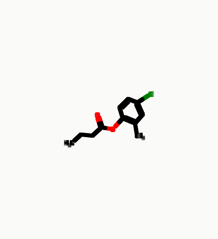 CCCC(=O)Oc1ccc(Cl)cc1C